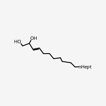 CCCCCCCCCCCCCCC=CC(O)CO